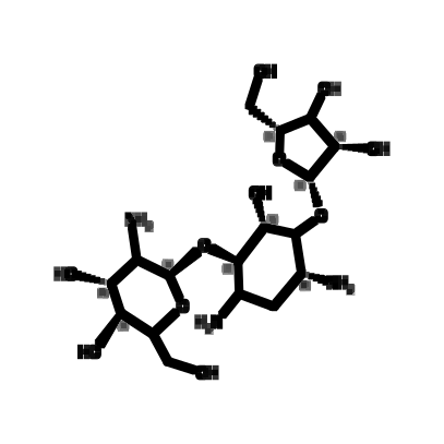 NC1[C@@H](O[C@@H]2C(N)C[C@@H](N)C(O[C@@H]3O[C@H](CO)C(O)[C@@H]3O)[C@H]2O)OC(CO)[C@@H](O)[C@@H]1O